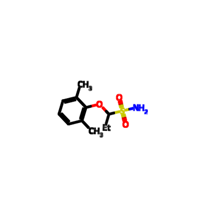 CCC(Oc1c(C)cccc1C)S(N)(=O)=O